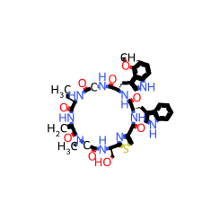 C=C1NC(=O)[C@@H](CC)NC(=O)CNC(=O)[C@H](Cc2c[nH]c3cccc(OC)c23)NC(=O)[C@H](Cc2c[nH]c3ccccc23)NC(=O)c2csc(n2)[C@@H](CO)NC(=O)CN(C)C1=O